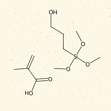 C=C(C)C(=O)O.CO[Si](CCCO)(OC)OC